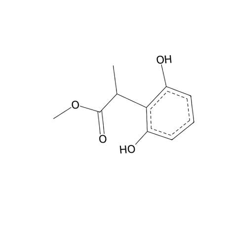 COC(=O)C(C)c1c(O)cccc1O